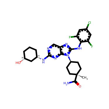 C[C@]1(C(N)=O)CC[C@@H](n2c(Nc3c(F)cc(Cl)cc3F)nc3cnc(N[C@H]4CCC[C@@H](O)C4)nc32)CC1